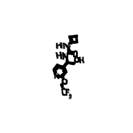 O=C(NC1CCC1)NC(CO)c1ccnc(OCC(F)(F)F)c1